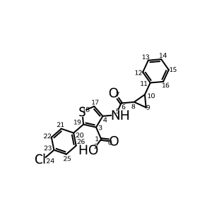 O=C(O)c1c(NC(=O)C2CC2c2ccccc2)csc1-c1ccc(Cl)cc1